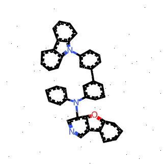 c1ccc(N(c2cccc(-c3cccc(-n4c5ccccc5c5ccccc54)c3)c2)c2cncc3c2oc2ccccc23)cc1